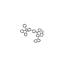 c1ccc(-c2c3c4ccccc4c4ccccc4c3n3cc(-c4ccc(N(c5ccc(-c6cccc7ccccc67)cc5)c5cccc6oc7ccccc7c56)cc4)ccc23)cc1